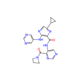 O=C(Nc1cncnc1C(=O)N1CCC1)c1nc(C2CC2)cnc1Nc1cncnc1